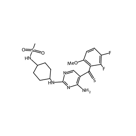 COc1ccc(F)c(F)c1C(=S)c1cnc(NC2CCC(NS(C)(=O)=O)CC2)nc1N